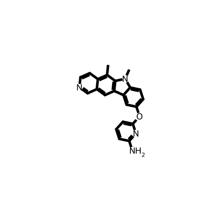 Cc1c2ccncc2cc2c3cc(Oc4cccc(N)n4)ccc3n(C)c12